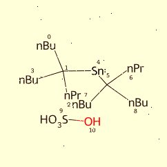 CCCC[C](CCC)(CCCC)[Sn][C](CCC)(CCCC)CCCC.O=S(=O)(O)O